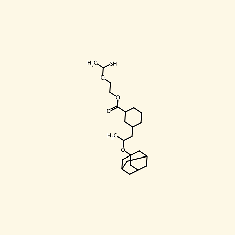 CC(S)OCCOC(=O)C1CCCC(CC(C)OC23CC4CC(CC(C4)C2)C3)C1